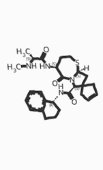 CN[C@@H](C)C(=O)N[C@H]1CCS[C@H]2CC3(CC=CC3)[C@@H](C(=O)N[C@@H]3CCCc4ccccc43)N2C1=O